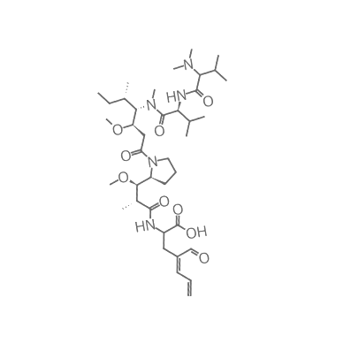 C=C/C=C(\C=O)CC(NC(=O)[C@H](C)[C@@H](OC)[C@@H]1CCCN1C(=O)C[C@@H](OC)[C@H]([C@@H](C)CC)N(C)C(=O)[C@@H](NC(=O)C(C(C)C)N(C)C)C(C)C)C(=O)O